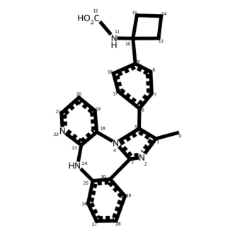 Cc1nc2n(c1-c1ccc(C3(NC(=O)O)CCC3)cc1)-c1cccnc1Nc1ccccc1-2